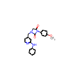 O=C1CN(Cc2ccnc(Nc3ccccc3)c2)C(=O)N1c1ccc(OC(F)(F)F)cc1